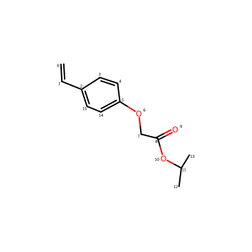 C=Cc1ccc(OCC(=O)OC(C)C)cc1